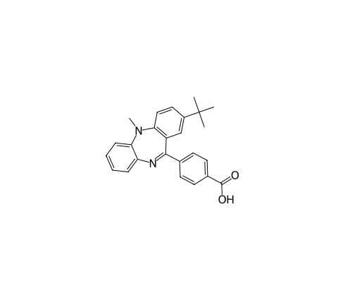 CN1c2ccccc2N=C(c2ccc(C(=O)O)cc2)c2cc(C(C)(C)C)ccc21